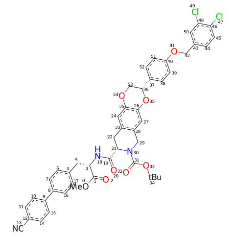 COC(=O)[C@H](Cc1ccc(-c2ccc(C#N)cc2)cc1)NC(=O)[C@@H]1Cc2cc3c(cc2CN1C(=O)OC(C)(C)C)O[C@@H](c1ccc(OCc2ccc(Cl)c(Cl)c2)cc1)CO3